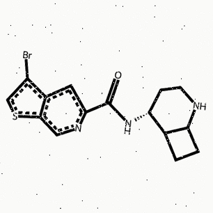 O=C(N[C@@H]1CCNC2CCC21)c1cc2c(Br)csc2cn1